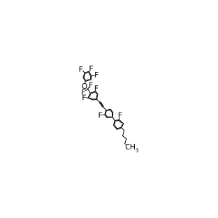 CCCCCc1ccc(-c2ccc(C#Cc3cc(F)c(C(F)(F)Oc4cc(F)c(F)c(F)c4)c(F)c3)c(F)c2)c(F)c1